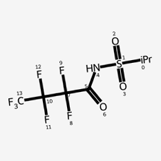 CC(C)S(=O)(=O)NC(=O)C(F)(F)C(F)(F)C(F)(F)F